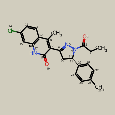 CCC(=O)N1N=C(c2c(C)c3ccc(Cl)cc3[nH]c2=O)C[C@H]1c1ccc(C)cc1